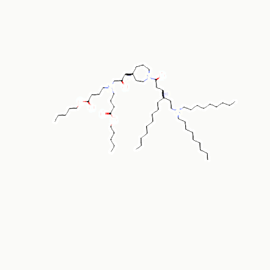 CCCCCCCCC/C(=C\CC(=O)N1CCC/C(=C/C(=O)CN(CCCC(=O)OCCCCC)CCCC(=O)OCCCCC)CC1)CCN(CCCCCCCCC)CCCCCCCCC